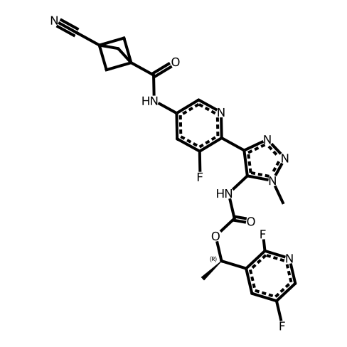 C[C@@H](OC(=O)Nc1c(-c2ncc(NC(=O)C34CC(C#N)(C3)C4)cc2F)nnn1C)c1cc(F)cnc1F